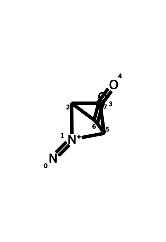 [N-]=[N+]1C2C(=O)C1C2=O